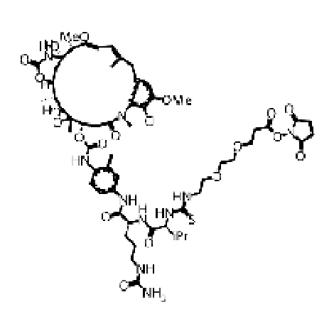 COc1cc2cc(c1Cl)N(C)C(=O)C[C@H](OC(=O)Nc1ccc(NC(=O)[C@H](CCCNC(N)=O)NC(=O)[C@@H](NC(=S)NCCOCCOCCC(=O)ON3C(=O)CCC3=O)C(C)C)cc1C)[C@]1(C)O[C@H]1[C@H](C)[C@@H]1C[C@@](O)(NC(=O)O1)[C@H](OC)/C=C/C=C(\C)C2